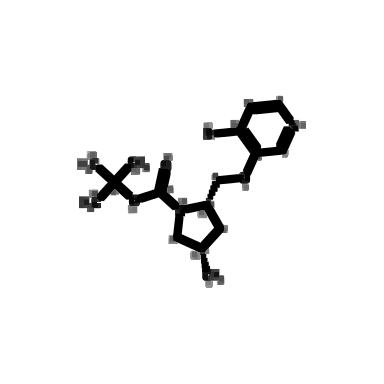 C[C@H]1C[C@@H](COc2cnccc2Br)N(C(=O)OC(C)(C)C)C1